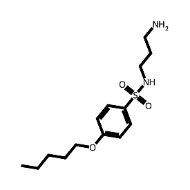 CCCCCOc1ccc(S(=O)(=O)NCCCN)cc1